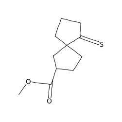 COC(=O)C1CCC2(CCCC2=S)C1